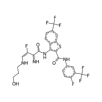 N=C(C(=O)Nc1c(C(=O)Nc2ccc(F)c(C(F)(F)F)c2)sc2cc(C(F)(F)F)ccc12)/C(F)=C\NCCCO